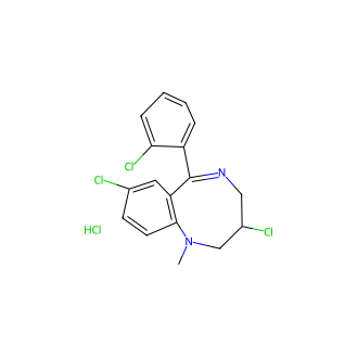 CN1CC(Cl)CN=C(c2ccccc2Cl)c2cc(Cl)ccc21.Cl